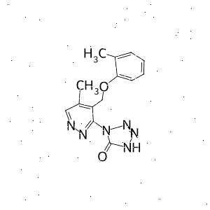 Cc1ccccc1OCc1c(C)cnnc1-n1nn[nH]c1=O